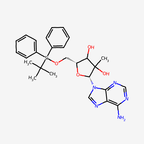 CC1(O)C(O)[C@@H](CO[Si](c2ccccc2)(c2ccccc2)C(C)(C)C)O[C@H]1n1cnc2c(N)ncnc21